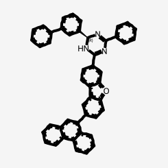 c1ccc(C2=N[C@H](c3cccc(-c4ccccc4)c3)NC(c3ccc4c(c3)oc3ccc(-c5cc6ccccc6c6ccccc56)cc34)=N2)cc1